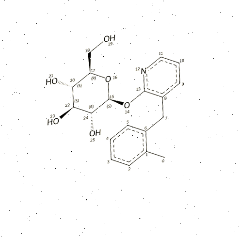 Cc1ccccc1Cc1cccnc1O[C@@H]1O[C@H](CO)[C@@H](O)[C@H](O)[C@H]1O